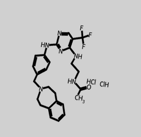 CC(=O)NCCNc1nc(Nc2ccc(CN3CCc4ccccc4CC3)cc2)ncc1C(F)(F)F.Cl.Cl